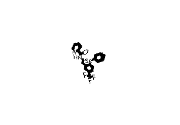 O=C(NCCc1cc(C(F)(F)F)ccc1[Se]c1ccccc1)c1ccccn1